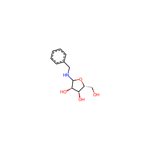 OC[C@H]1OC(NCc2ccccc2)[C@H](O)[C@@H]1O